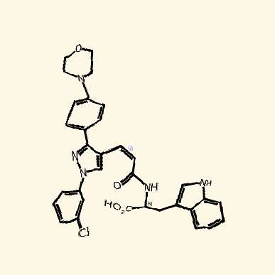 O=C(/C=C\c1cn(-c2cccc(Cl)c2)nc1-c1ccc(N2CCOCC2)cc1)N[C@@H](Cc1c[nH]c2ccccc12)C(=O)O